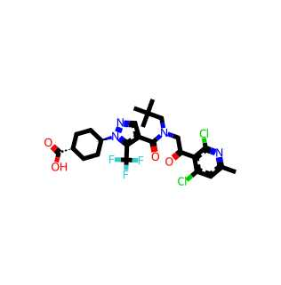 Cc1cc(Cl)c(C(=O)CN(CC(C)(C)C)C(=O)c2cnn([C@H]3CC[C@H](C(=O)O)CC3)c2C(F)(F)F)c(Cl)n1